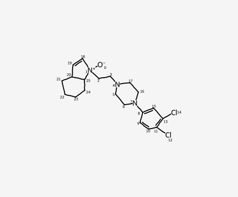 [O-][N+]1(CCN2CCN(c3ccc(Cl)c(Cl)c3)CC2)C=CC2CCCCC21